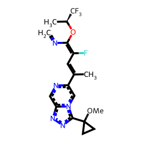 C=N/C(O[C@@H](C)C(F)(F)F)=C(F)\C=C(/C)c1cn2c(C3(OC)CC3)nnc2cn1